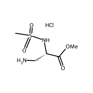 COC(=O)[C@H](CN)NS(C)(=O)=O.Cl